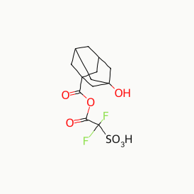 O=C(OC(=O)C(F)(F)S(=O)(=O)O)C12CC3CC(CC(O)(C3)C1)C2